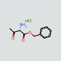 CC(=O)[C@H](N)C(=O)OCc1ccccc1.Cl